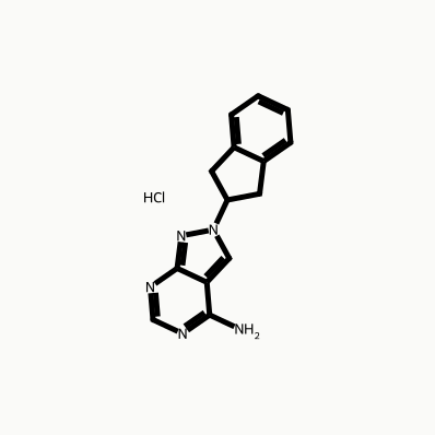 Cl.Nc1ncnc2nn(C3Cc4ccccc4C3)cc12